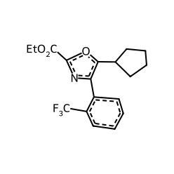 CCOC(=O)c1nc(-c2ccccc2C(F)(F)F)c(C2CCCC2)o1